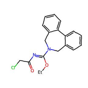 CCOC(=NC(=O)CCl)N1Cc2ccccc2-c2ccccc2C1